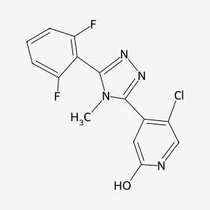 Cn1c(-c2cc(O)ncc2Cl)nnc1-c1c(F)cccc1F